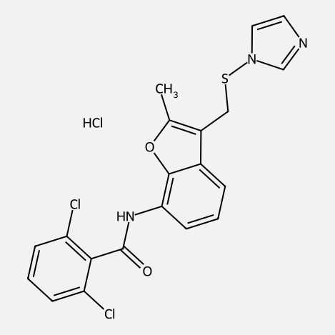 Cc1oc2c(NC(=O)c3c(Cl)cccc3Cl)cccc2c1CSn1ccnc1.Cl